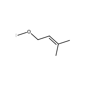 [C]OCC=C(C)C